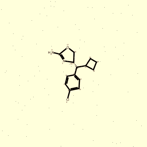 NC1=N[C@@H](C(c2ccc(Cl)cc2)C2CCC2)CO1